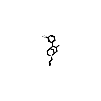 C=CCN1CCC2CC1CC(C)C2c1cccc(O)c1